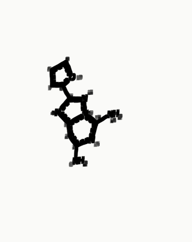 Nc1cc2nc(-c3ccco3)nn2c(N)n1